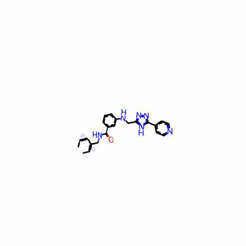 C/C=C\C(=C/C)CNC(=O)c1cccc(NCc2nnc(-c3ccncc3)[nH]2)c1